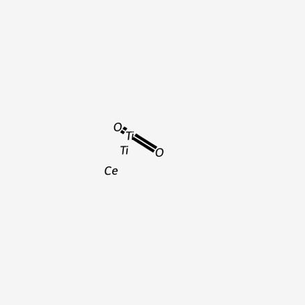 [Ce].[O]=[Ti]=[O].[Ti]